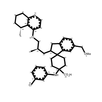 COCc1ccc2c(c1)C1(CCC(Nc3cccc(Cl)c3)(C(=O)O)CC1)C(C[C@@H](C)COc1ccnc3c1[C@H](C)CCC3)C2